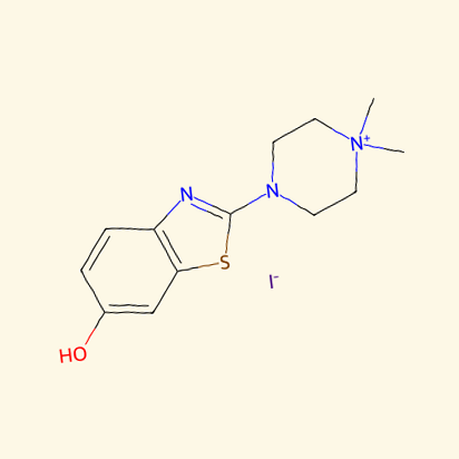 C[N+]1(C)CCN(c2nc3ccc(O)cc3s2)CC1.[I-]